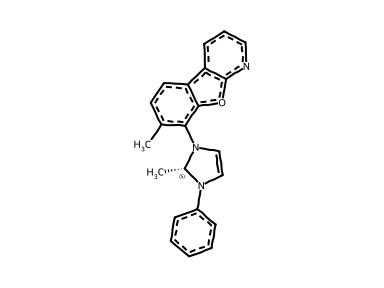 Cc1ccc2c(oc3ncccc32)c1N1C=CN(c2ccccc2)[C@@H]1C